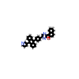 c1cncc(-c2c3ccccc3c(-c3ccc(-c4cnc5c(n4)oc4ccc6ccccc6c45)cc3)c3ccccc23)c1